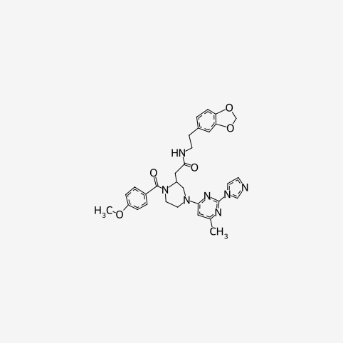 COc1ccc(C(=O)N2CCN(c3cc(C)nc(-n4ccnc4)n3)CC2CC(=O)NCCc2ccc3c(c2)OCO3)cc1